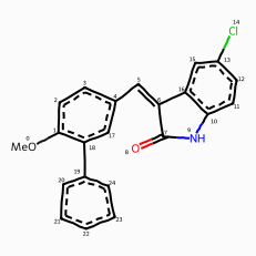 COc1ccc(C=C2C(=O)Nc3ccc(Cl)cc32)cc1-c1ccccc1